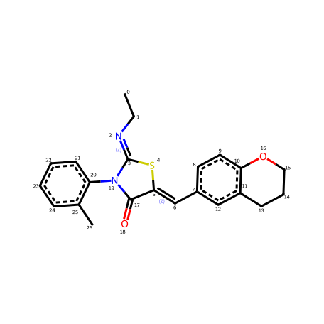 CC/N=C1\S/C(=C\c2ccc3c(c2)CCCO3)C(=O)N1c1ccccc1C